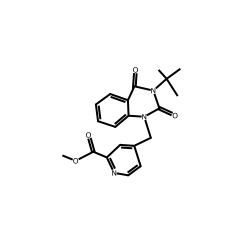 COC(=O)c1cc(Cn2c(=O)n(C(C)(C)C)c(=O)c3ccccc32)ccn1